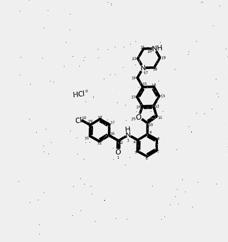 Cl.O=C(Nc1ccccc1-c1cc2ccc(CN3CCNCC3)cc2o1)c1ccc(Cl)cc1